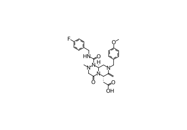 C=C1[C@H](CC(=O)O)N2C(=O)CN(C)N(C(=O)NCc3ccc(F)cc3)[C@H]2CN1Cc1ccc(OC)cc1